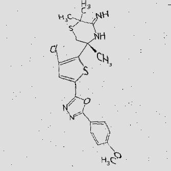 COc1ccc(-c2nnc(-c3cc(Cl)c([C@]4(C)CSC(C)(C)C(=N)N4)s3)o2)cc1